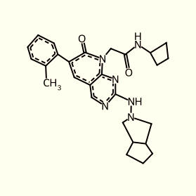 Cc1ccccc1-c1cc2cnc(NN3CC4CCCC4C3)nc2n(CC(=O)NC2CCC2)c1=O